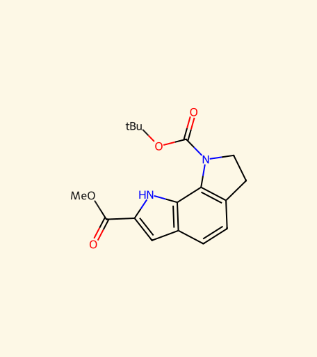 COC(=O)c1cc2ccc3c(c2[nH]1)N(C(=O)OC(C)(C)C)CC3